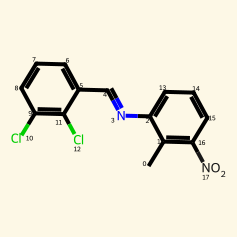 Cc1c(N=Cc2cccc(Cl)c2Cl)cccc1[N+](=O)[O-]